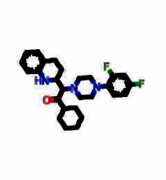 O=C(C1CCCCC1)C(C1CCc2ccccc2N1)N1CCN(c2ccc(F)cc2F)CC1